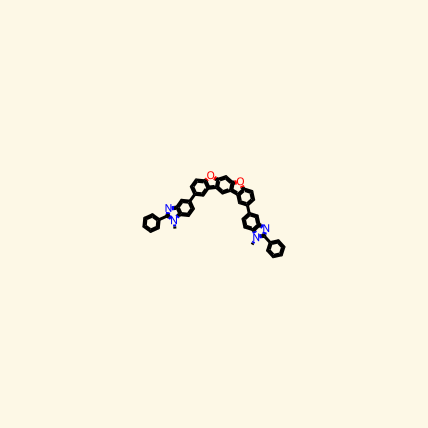 Cn1c(-c2ccccc2)nc2cc(-c3ccc4oc5cc6oc7ccc(-c8ccc9c(c8)nc(-c8ccccc8)n9C)cc7c6cc5c4c3)ccc21